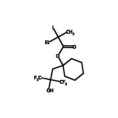 CCC(C)(I)C(=O)OC1(CC(O)(C(F)(F)F)C(F)(F)F)CCCCC1